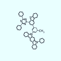 CC1C=C(n2c3ccccc3c3cc4c5ccccc5n(-c5ccccc5)c4cc32)C=C(c2cc(-c3nc(-c4ccccc4)nc(-c4ccccc4)n3)c3sc4ccccc4c3c2)C1